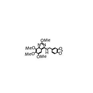 COc1nc(NCc2ccc3c(c2)OCO3)c2cc(OC)c(OC)c(OC)c2n1